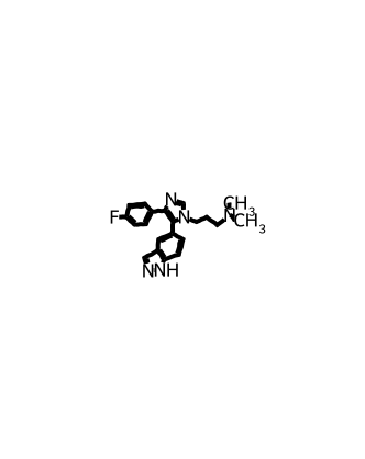 CN(C)CCCn1cnc(-c2ccc(F)cc2)c1-c1ccc2[nH]ncc2c1